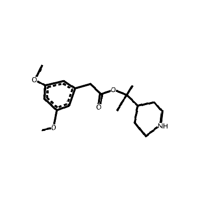 COc1cc(CC(=O)OC(C)(C)C2CCNCC2)cc(OC)c1